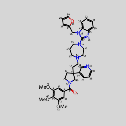 COc1cc(C(=O)N2CCC(CCN3CCCN(c4nc5ccccc5n4Cc4ccco4)CC3)(c3cccnc3)C2)cc(OC)c1OC